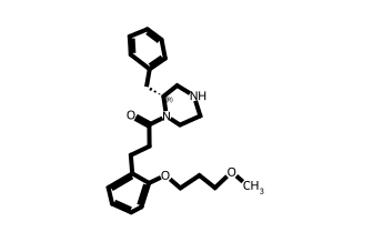 COCCCOc1ccccc1CCC(=O)N1CCNC[C@H]1Cc1ccccc1